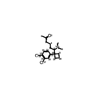 CC(=O)CCCC(N(C)C)C1(c2ccc(Cl)c(Cl)c2)CCC1